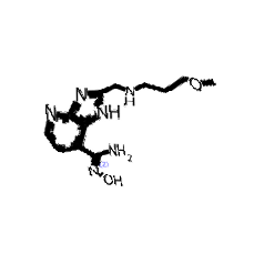 COCCCNCc1nc2nccc(/C(N)=N/O)c2[nH]1